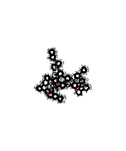 C1=CC2=C3C=CC=CC3C3(c4cccc(N(c5ccc(-c6ccccc6)cc5)c5ccc6c7ccc(N8C=CC=C9C(c%10ccc%11ccccc%11c%10)=CC=CC98)c8oc9c(N%10C=CC=C%11C=C(c%12ccccc%12-c%12ccccc%12)C=CC%11%10)ccc(c%10c(-c%11ccnc(-c%12cccc%13cc%14ccccc%14cc%12%13)n%11)ccc%11oc5c6c%11%10)c9c87)c4C4C=CC=CC43)C2C=C1